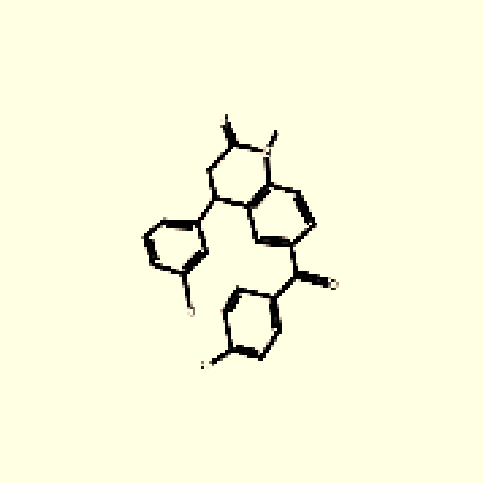 CN1C(=O)CC(c2cccc(Cl)c2)c2cc(C(=O)c3ccc(Cl)cc3)ccc21